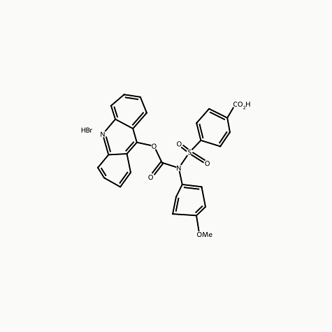 Br.COc1ccc(N(C(=O)Oc2c3ccccc3nc3ccccc23)S(=O)(=O)c2ccc(C(=O)O)cc2)cc1